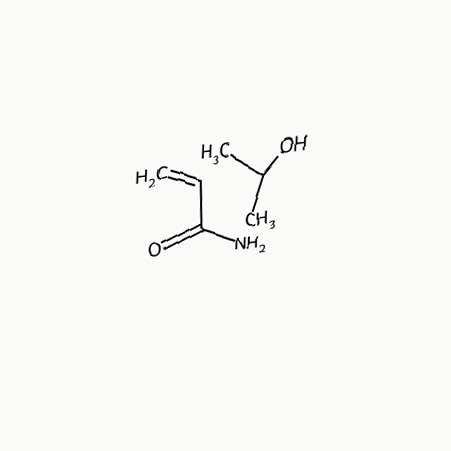 C=CC(N)=O.CC(C)O